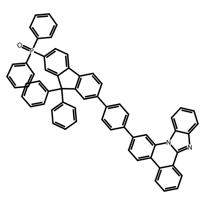 O=P(c1ccccc1)(c1ccccc1)c1ccc2c(c1)C(c1ccccc1)(c1ccccc1)c1cc(-c3ccc(-c4ccc5c6ccccc6c6nc7ccccc7n6c5c4)cc3)ccc1-2